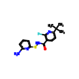 CC(C)(C)c1ccc(C(=O)NSc2cccc(N)n2)c(F)n1